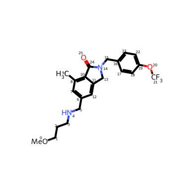 COCCCNCc1cc(C)c2c(c1)CN(Cc1ccc(OC(F)(F)F)cc1)C2=O